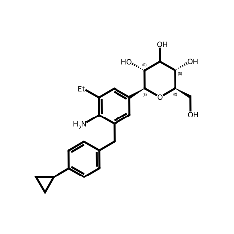 CCc1cc([C@@H]2O[C@H](CO)[C@@H](O)C(O)[C@H]2O)cc(Cc2ccc(C3CC3)cc2)c1N